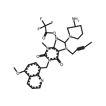 CC#CCN1c2c(n(C)c(=O)n(Cc3ccc(OC)c4cccnc34)c2=O)N(OC(=O)C(F)(F)F)C1N1CCCC(N)C1